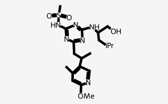 COc1cc(C)c(C(C)Cc2nc(NC(CO)CC(C)C)nc(NS(C)(=O)=O)n2)cn1